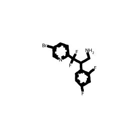 NCC(c1ccc(F)cc1F)C(F)(F)c1ccc(Br)cn1